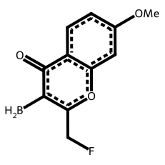 Bc1c(CF)oc2cc(OC)ccc2c1=O